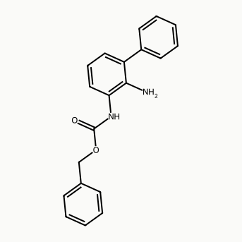 Nc1c(NC(=O)OCc2ccccc2)cccc1-c1ccccc1